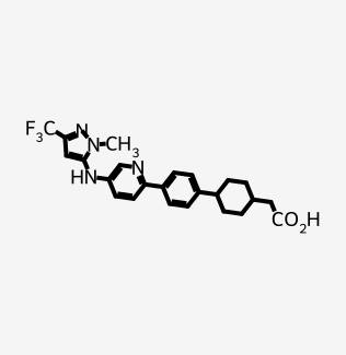 Cn1nc(C(F)(F)F)cc1Nc1ccc(-c2ccc(C3CCC(CC(=O)O)CC3)cc2)nc1